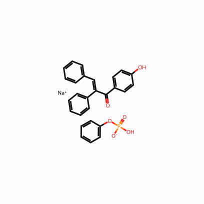 O=C(/C(=C/c1ccccc1)c1ccccc1)c1ccc(O)cc1.O=P([O-])(O)Oc1ccccc1.[Na+]